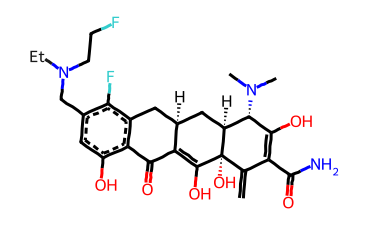 C=C1C(C(N)=O)=C(O)[C@@H](N(C)C)[C@@H]2C[C@@H]3Cc4c(F)c(CN(CC)CCF)cc(O)c4C(=O)C3=C(O)[C@]12O